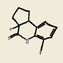 Fc1cccc2c1NC(=S)C1(F)CCCC21